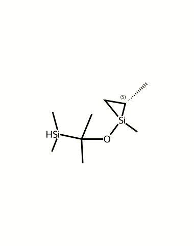 C[C@H]1C[Si]1(C)OC(C)(C)[SiH](C)C